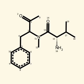 CC(=O)C(Cc1ccccc1)N(C)C(=O)[C@@H](N)C(C)C